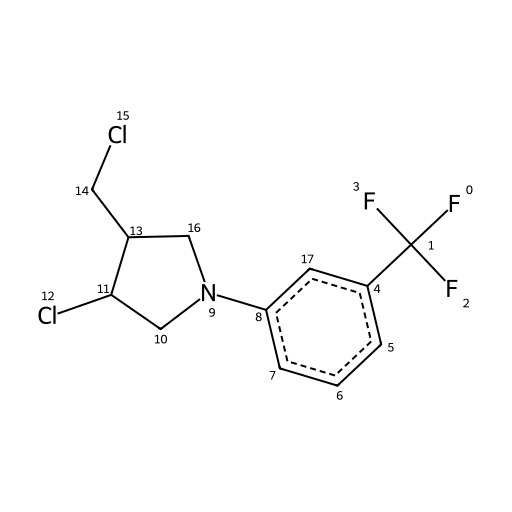 FC(F)(F)c1cccc(N2CC(Cl)C(CCl)C2)c1